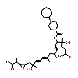 CCC(O)CCC(C)(O)C(/C=C/C(C)C/C(C)=C/C=C/C(C)(O)CC1OC1C(C)C(O)CC)OC(=O)N1CCN(C2CCCCCC2)CC1